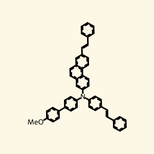 COc1ccc(-c2ccc(N(c3ccc(/C=C/c4ccccc4)cc3)c3ccc4c(ccc5cc(/C=C/c6ccccc6)ccc54)c3)cc2)cc1